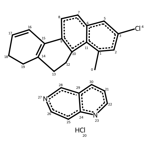 Cc1cc(Cl)cc2ccc3c(c12)CCC1=C3C=CCC1.Cl.c1cnc2ccncc2c1